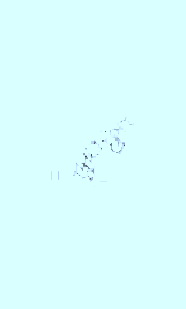 Cc1cc(C)nc(N2CC3CC2CN(C(=O)c2cccnc2OC2CCCC2)C3)n1